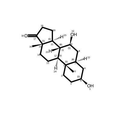 C[C@]12CC[C@H](O)C[C@@H]1C[C@H](O)[C@@H]1[C@@H]2CC[C@]2(C)C(=O)CC[C@@H]12